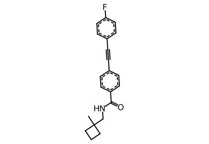 CC1(CNC(=O)c2ccc(C#Cc3ccc(F)cc3)cc2)CCC1